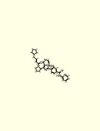 N[N+]12C=CN=CC1=C(C1CCCN1C(=O)C=CCN1CCCC1)N=C2c1ccc(C(=O)Nc2ccccn2)cc1